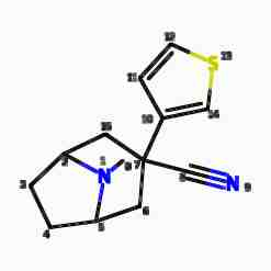 CN1C2CCC1CC(C#N)(c1ccsc1)C2